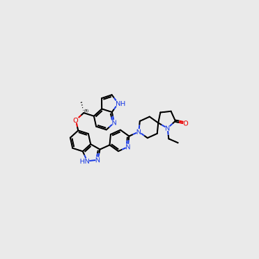 CCN1C(=O)CCC12CCN(c1ccc(-c3n[nH]c4ccc(O[C@H](C)c5ccnc6[nH]ccc56)cc34)cn1)CC2